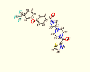 O=C(c1ccc(Oc2cccc(C(F)(F)F)c2)cc1)N1CC(N2CCN(C(=O)c3nccs3)CC2)C1